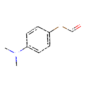 CN(C)c1[c]cc(SC=O)cc1